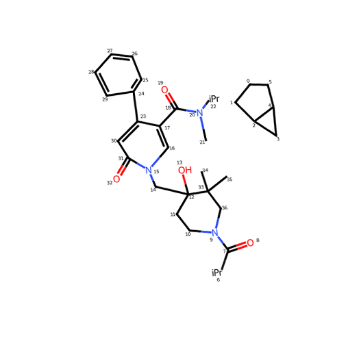 C1CC2CC2C1.CC(C)C(=O)N1CCC(O)(Cn2cc(C(=O)N(C)C(C)C)c(-c3ccccc3)cc2=O)C(C)(C)C1